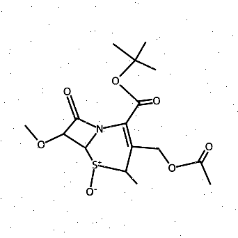 COC1C(=O)N2C(C(=O)OC(C)(C)C)=C(COC(C)=O)C(C)[S+]([O-])C12